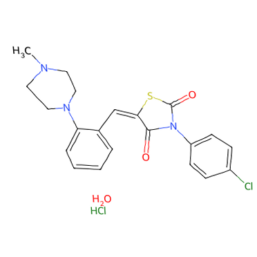 CN1CCN(c2ccccc2/C=C2/SC(=O)N(c3ccc(Cl)cc3)C2=O)CC1.Cl.O